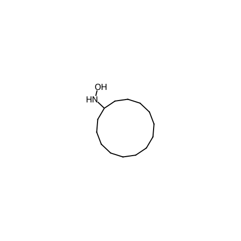 ONC1CCCCCCCCCCCCC1